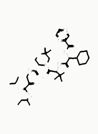 CCC[C@H](NC(=O)[C@@H]1COC(C)(C)CN1C(=O)[C@@H](NC(=O)[C@@H](NC(=O)c1cnccn1)C1CCCCC1)C(C)(C)C)C(=O)C(=O)NC(C)CC